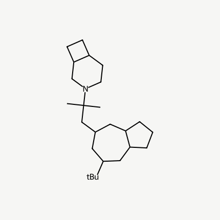 CC(C)(C)C1CC(CC(C)(C)N2CCC3CCC3C2)CC2CCCC2C1